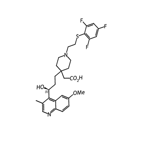 COc1ccc2ncc(C)c([C@@H](O)CCC3(CC(=O)O)CCN(CCSc4c(F)cc(F)cc4F)CC3)c2c1